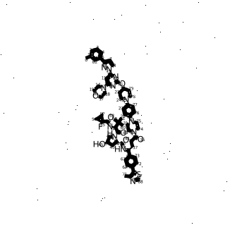 Cc1cccc(-c2ccn(-c3cc(N4CCOCC4)nc(OC4CCN(c5ccc(N6CCN(C(=O)CC[C@H](NC(=O)[C@@H]7C[C@@H](O)CN7C(=O)[C@@H](NC(=O)C7(F)CC7)C(C)(C)C)c7ccc(-c8scnc8C)cc7)CC6)cc5)CC4)n3)n2)c1